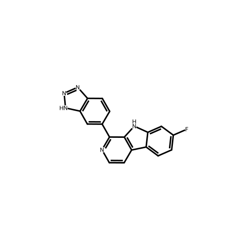 Fc1ccc2c(c1)[nH]c1c(-c3ccc4nn[nH]c4c3)nccc12